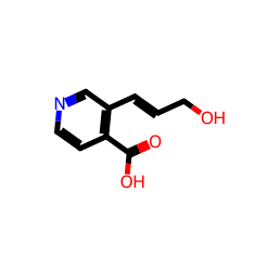 O=C(O)c1ccncc1C=CCO